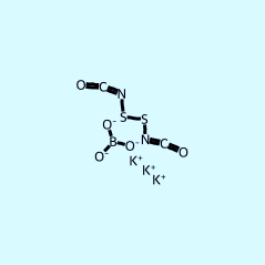 O=C=NSSN=C=O.[K+].[K+].[K+].[O-]B([O-])[O-]